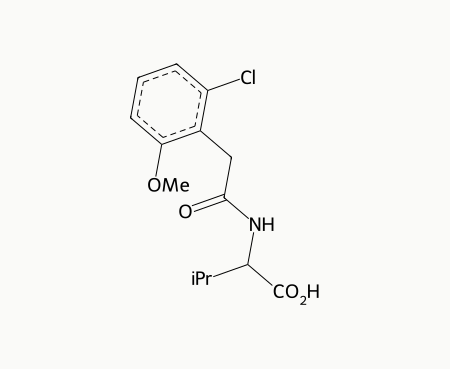 COc1cccc(Cl)c1CC(=O)NC(C(=O)O)C(C)C